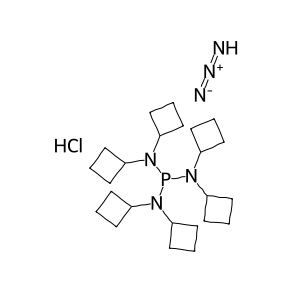 C1CC(N(C2CCC2)P(N(C2CCC2)C2CCC2)N(C2CCC2)C2CCC2)C1.Cl.[N-]=[N+]=N